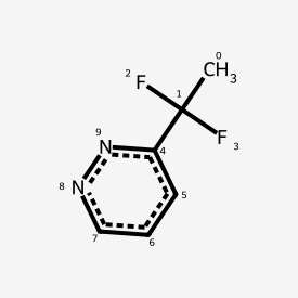 CC(F)(F)c1cccnn1